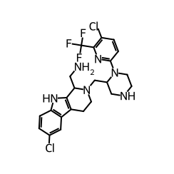 NCC1c2[nH]c3ccc(Cl)cc3c2CCN1CC1CNCCN1c1ccc(Cl)c(C(F)(F)F)n1